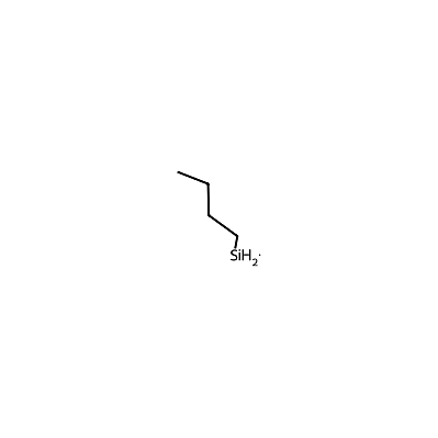 CCCC[SiH2]